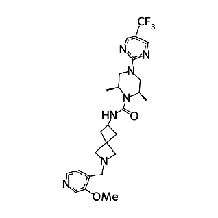 COc1cnccc1CN1CC2(CC(NC(=O)N3[C@H](C)CN(c4ncc(C(F)(F)F)cn4)C[C@@H]3C)C2)C1